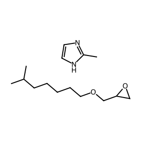 CC(C)CCCCCOCC1CO1.Cc1ncc[nH]1